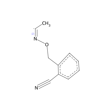 C/[C]=N\OCc1ccccc1C#N